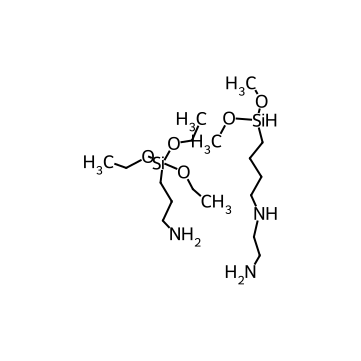 CCO[Si](CCCN)(OCC)OCC.CO[SiH](CCCCNCCN)OC